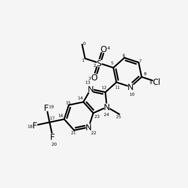 CCS(=O)(=O)c1ccc(Cl)nc1-c1nc2cc(C(F)(F)F)cnc2n1C